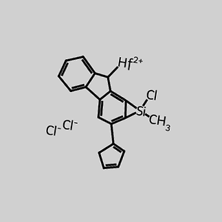 C[Si]1(Cl)c2c(C3=CC=CC3)cc3c(c21)[CH]([Hf+2])c1ccccc1-3.[Cl-].[Cl-]